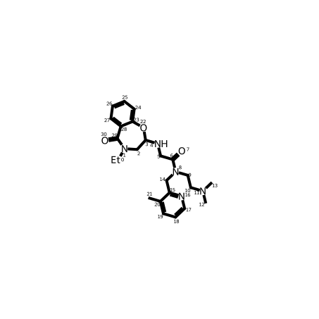 CCN1CC(NCC(=O)N(CCN(C)C)Cc2ncccc2C)Oc2ccccc2C1=O